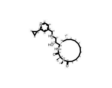 C[C@@H]1CCCCCCCCC(=O)N(C)[C@@H](C)C(=O)N[C@H]([C@H](O)CNCc2ccnc(C3CC3)c2)C1